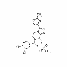 Cc1nsc(-c2nnc3n2CCN(C(=O)c2ccc(Cl)c(Cl)c2)C3CCS(C)(=O)=O)n1